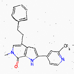 Cn1cc(CCc2ccccc2)c2cc(-c3ccnc(C(F)(F)F)c3)[nH]c2c1=O